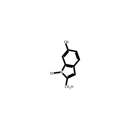 CCn1c(C(=O)O)cc2ccc(C#N)cc21